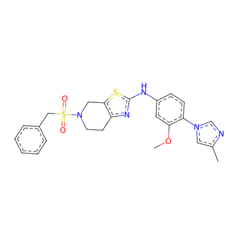 COc1cc(Nc2nc3c(s2)CN(S(=O)(=O)Cc2ccccc2)CC3)ccc1-n1cnc(C)c1